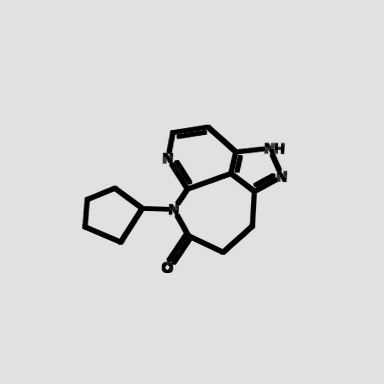 O=C1CCc2n[nH]c3ccnc(c23)N1C1CCCC1